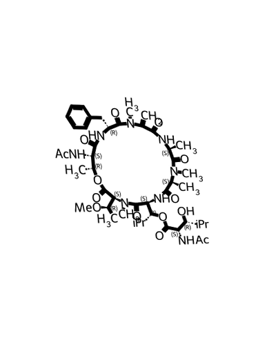 C=C1C(=O)N[C@@H](C)C(=O)N(C)[C@@H](C)C(=O)N[C@@H]([C@H](OC(=O)[C@@H](NC(C)=O)[C@H](O)C(C)C)C(C)C)C(=O)N(C)[C@@H]([C@@H](C)OC)C(=O)O[C@H](C)[C@H](NC(C)=O)C(=O)N[C@H](Cc2ccccc2)C(=O)N1C